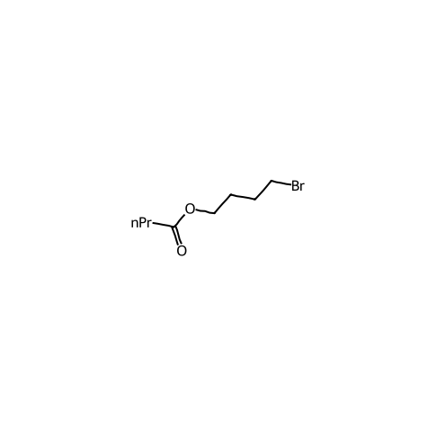 CCCC(=O)OCCCCBr